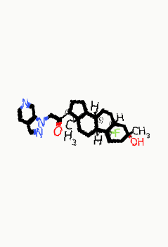 C[C@@]1(O)CC[C@@]2(F)[C@H](CC[C@H]3C4CC[C@H](C(=O)Cn5ncc6ccncc65)[C@@]4(C)CC[C@@H]32)C1